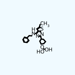 CCc1cc2c(NCCc3ccccc3)nc(C3CCCCC3)nc2s1.O=C(O)O